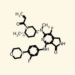 C=CC(=O)N1C[C@H](N(C)c2nc(Nc3ccc(N4CCOCC4)c(F)c3)c3c(c2F)CNC3=O)CC[C@@H]1C